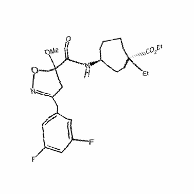 CCOC(=O)[C@@]1(CC)CC[C@H](NC(=O)C2(OC)CC(c3cc(F)cc(F)c3)=NO2)C1